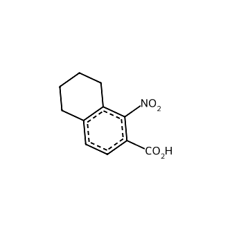 O=C(O)c1ccc2c(c1[N+](=O)[O-])CCCC2